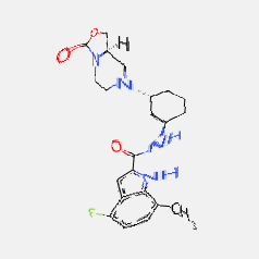 Cc1ccc(F)c2cc(C(=O)N[C@@H]3CCC[C@@H](N4CCN5C(=O)OC[C@H]5C4)C3)[nH]c12